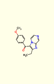 CCc1nc2cnccn2c1C(=O)c1ccc(OC)cc1